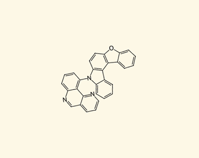 c1cnc2c(c1)cnc1cccc(-n3c4ccccc4c4c5c(ccc43)oc3ccccc35)c12